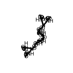 CCOC(=O)CC(NCCCCCCN(CCCCCCNC(CC(=O)OCC)C(=O)OCC)CCC(=O)OCCOC(=O)NCC1(C)CC(NC(=O)Oc2ccc(C(=O)c3ccc(OC(=O)NC4CC(C)(C)CC(C)(CNC(=O)OCCOC(=O)CCN(CCCCCCNC(CC(=O)OCC)C(=O)OCC)CCCCCCNC(CC(=O)OCC)C(=O)OCC)C4)cc3)cc2)CC(C)(C)C1)C(=O)OCC